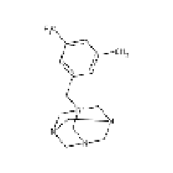 Cc1cc(C[N+]23CN4CN(CN(C4)C2)C3)cc(C(F)(F)F)c1